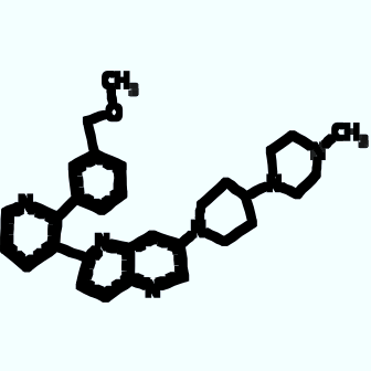 COCc1cccc(-c2ncccc2-c2ccc3ncc(N4CCC(N5CCN(C)CC5)CC4)cc3n2)c1